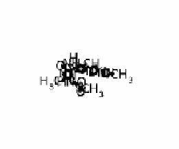 CCc1nc(C(N)=O)c(Nc2ccc(N3CCC(N4CCN(C)CC4)CC3)c(C)c2)nc1NCCS(C)(=O)=O